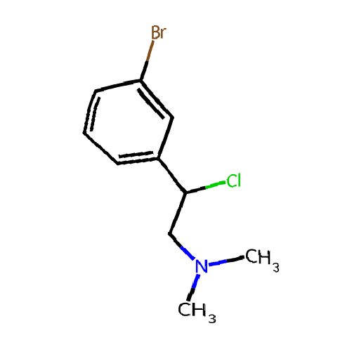 CN(C)CC(Cl)c1cccc(Br)c1